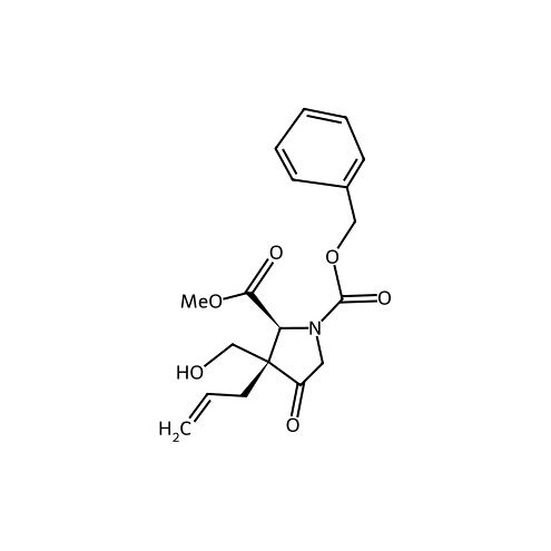 C=CC[C@]1(CO)C(=O)CN(C(=O)OCc2ccccc2)[C@@H]1C(=O)OC